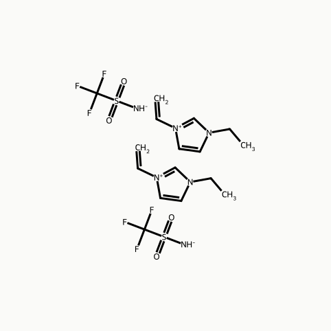 C=C[n+]1ccn(CC)c1.C=C[n+]1ccn(CC)c1.[NH-]S(=O)(=O)C(F)(F)F.[NH-]S(=O)(=O)C(F)(F)F